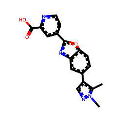 Cc1c(-c2ccc3oc(-c4ccnc(C(=O)O)c4)nc3c2)cnn1C